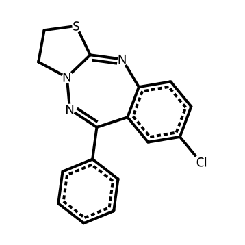 Clc1ccc2c(c1)C(c1ccccc1)=NN1CCSC1=N2